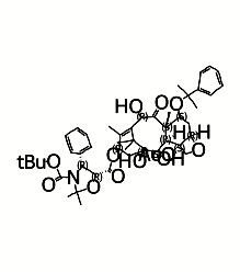 CC(=O)O[C@@]12CO[C@@H]1C[C@H](OC(C)(C)c1ccccc1)[C@@]1(C)C(=O)[C@H](O)C3=C(C)[C@@H](OC(=O)[C@@H]4OC(C)(C)N(C(=O)OC(C)(C)C)[C@@H]4c4ccccc4)C[C@@](O)([C@@H](O)[C@H]21)C3(C)C